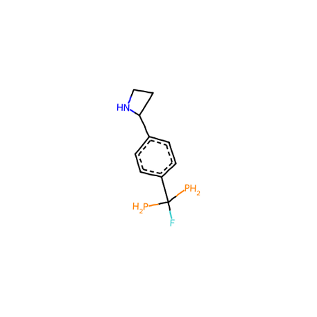 FC(P)(P)c1ccc(C2CCN2)cc1